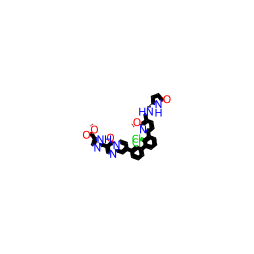 COC(=O)c1cnc(-c2cnc3cc(-c4cccc(-c5cccc(-c6ccc(CNC[C@@H]7CCC(=O)N7)c(OC)n6)c5Cl)c4Cl)ccn3c2=O)[nH]1